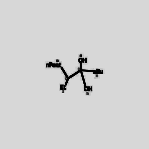 CCCCCC(CC)C(O)(O)CCCC